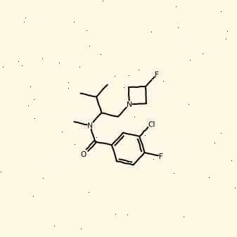 CC(C)C(CN1CC(F)C1)N(C)C(=O)c1ccc(F)c(Cl)c1